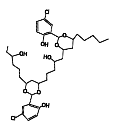 CCCCCC1CC(CC(O)CCCC2CC(CCCC(O)CC)OC(c3cc(Cl)ccc3O)O2)OC(c2cc(Cl)ccc2O)O1